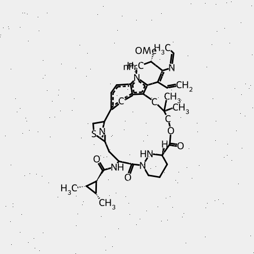 C=C/C(=C(\N=C/C)[C@H](C)OC)c1c2c3cc(ccc3n1CCC)C1CSC(=N1)C[C@H](NC(=O)[C@H]1[C@H](C)[C@@H]1C)C(=O)N1CCC[C@H](N1)C(=O)OCC(C)(C)C2